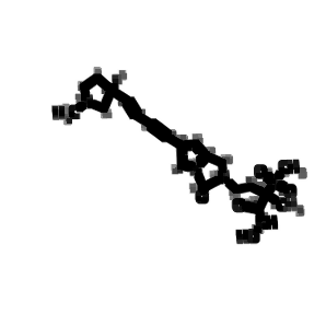 CN1CC[C@@](F)(C#CC#Cc2cc3n(c2)C(=O)N(CCC(C)(C(=O)NO)S(C)(=O)=O)C3)C1